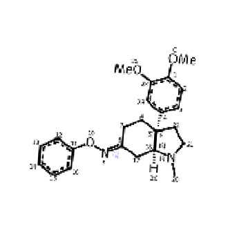 COc1ccc([C@@]23CC/C(=N\Oc4ccccc4)C[C@@H]2N(C)CC3)cc1OC